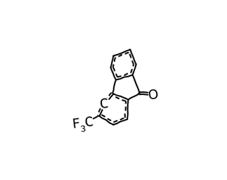 O=C1c2ccccc2-c2cc(C(F)(F)F)ccc21